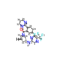 CN(c1cnc(C(F)(F)F)cn1)C1C[C@H]2CC1N(C(=O)c1cc(F)ccc1-c1ncccn1)C2